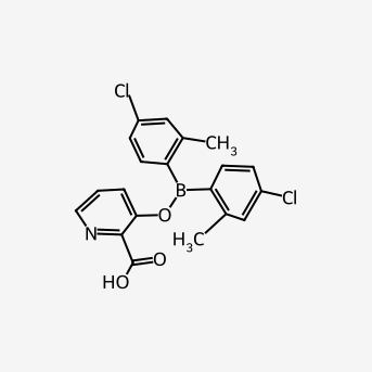 Cc1cc(Cl)ccc1B(Oc1cccnc1C(=O)O)c1ccc(Cl)cc1C